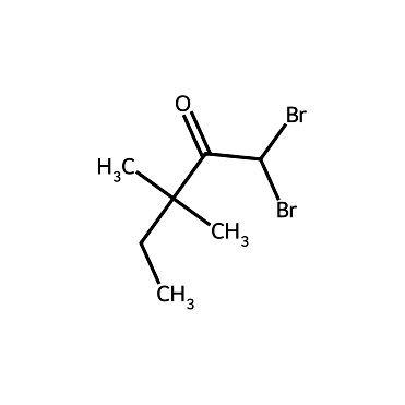 CCC(C)(C)C(=O)C(Br)Br